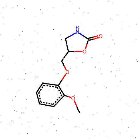 COc1ccccc1OCC1CNC(=O)O1